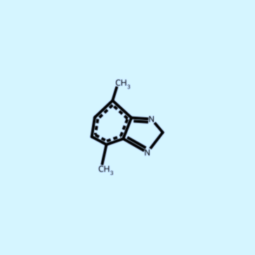 Cc1ccc(C)c2c1=NCN=2